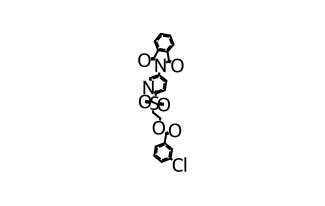 O=C(OCCS(=O)(=O)c1ccc(N2C(=O)c3ccccc3C2=O)cn1)c1cccc(Cl)c1